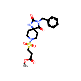 CC(C)(C)OC(=O)CCS(=O)(=O)N1CCC2(CC1)NC(=O)N(Cc1ccccc1)C2=O